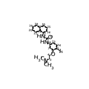 CN(C)CCOc1cc(NC(=O)Nc2cccc3ccccc23)ccc1I